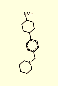 CNC1CCC(c2ccc(CN3CCCCC3)cc2)CC1